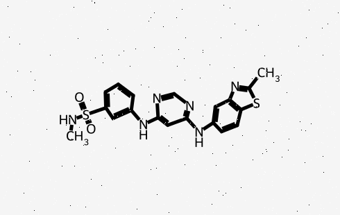 CNS(=O)(=O)c1cccc(Nc2cc(Nc3ccc4sc(C)nc4c3)ncn2)c1